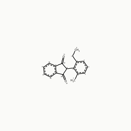 CCc1cccc(C)c1C1C(=O)c2ccccc2C1=O